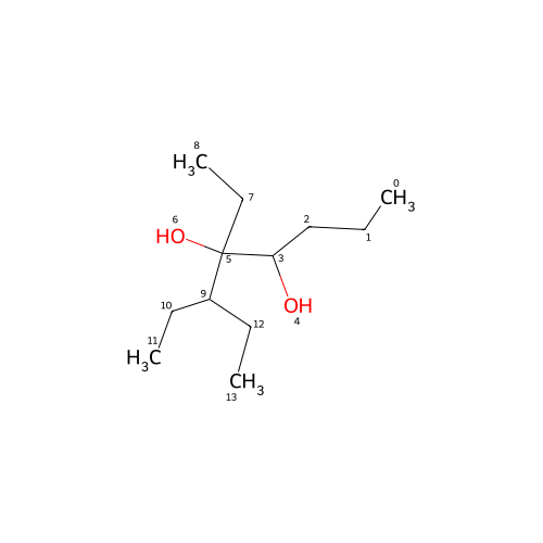 CCCC(O)C(O)(CC)C(CC)CC